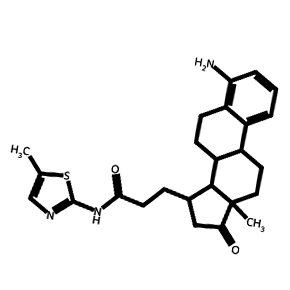 Cc1cnc(NC(=O)CCC2CC(=O)C3(C)CCC4c5cccc(N)c5CCC4C23)s1